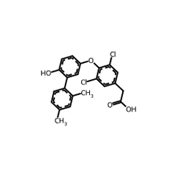 Cc1ccc(-c2cc(Oc3c(Cl)cc(CC(=O)O)cc3Cl)ccc2O)c(C)c1